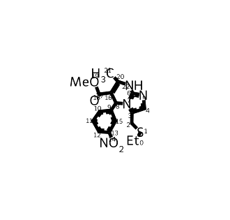 CCSCc1cnc2n1C(c1cccc([N+](=O)[O-])c1)C(C(=O)OC)=C(C)N2